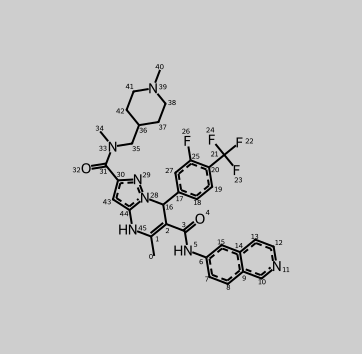 CC1=C(C(=O)Nc2ccc3cnccc3c2)C(c2ccc(C(F)(F)F)c(F)c2)n2nc(C(=O)N(C)CC3CCN(C)CC3)cc2N1